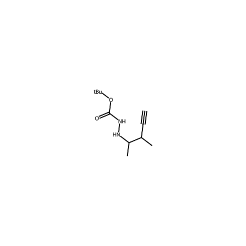 C#CC(C)C(C)NNC(=O)OC(C)(C)C